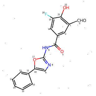 O=Cc1cc(C(=O)Nc2ncc(-c3ccccc3)o2)cc(F)c1O